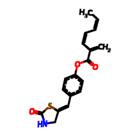 C=C(/C=C\C=C/C)C(=O)Oc1ccc(/C=C2/CNC(=O)S2)cc1